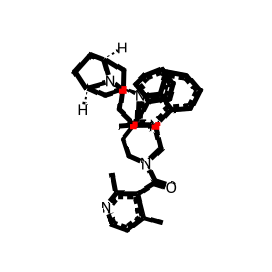 Cc1ccnc(C)c1C(=O)N1CCC(CCN2[C@@H]3CC[C@H]2C[C@@H](n2c(C)nc4ccccc42)C3)(c2ccccc2)CC1